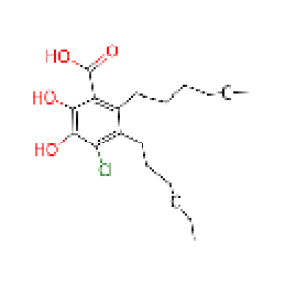 CCCCCCc1c(Cl)c(O)c(O)c(C(=O)O)c1CCCCCC